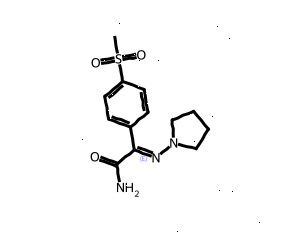 CS(=O)(=O)c1ccc(/C(=N\N2CCCC2)C(N)=O)cc1